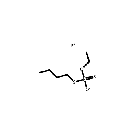 CCCCSP([O-])(=S)OCC.[K+]